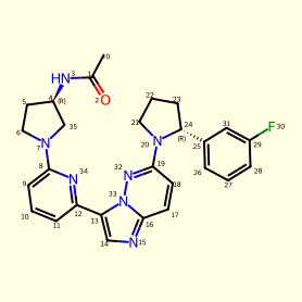 [CH2]C(=O)N[C@@H]1CCN(c2cccc(-c3cnc4ccc(N5CCC[C@@H]5c5cccc(F)c5)nn34)n2)C1